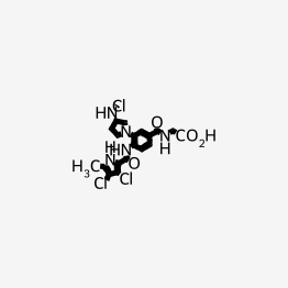 Cc1[nH]c(C(=O)Nc2ccc(C(=O)NCC(=O)O)cc2N2CC[C@H](NCl)C2)c(Cl)c1Cl